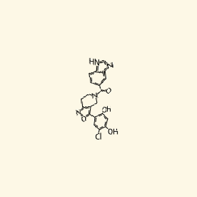 O=C(c1ccc2[nH]cnc2c1)N1CCc2noc(-c3cc(Cl)c(O)cc3O)c2C1